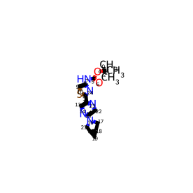 CC(C)(C)OC(=O)Nc1csc(-c2cnc(N3CC4CC4C3)cn2)n1